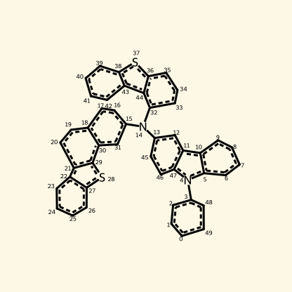 c1ccc(-n2c3ccccc3c3cc(N(c4ccc5ccc6c7ccccc7sc6c5c4)c4cccc5sc6ccccc6c45)ccc32)cc1